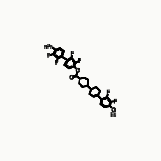 CCCc1ccc(-c2ccc(OC(=O)C3CCC(C4CC=C(c5ccc(OCC)c(F)c5F)CC4)CC3)c(F)c2F)c(F)c1F